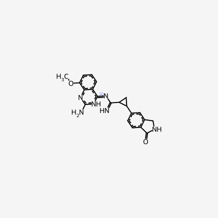 COc1cccc2/c(=N/C(=N)C3CC3c3ccc4c(c3)CNC4=O)[nH]c(N)nc12